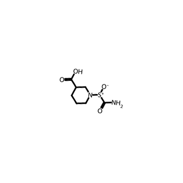 NC(=O)[S+]([O-])N1CCCC(C(=O)O)C1